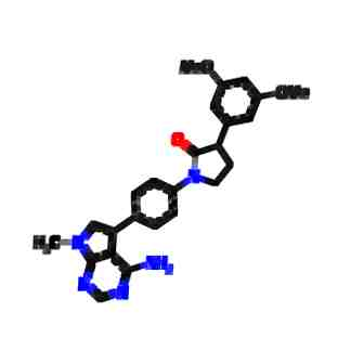 COc1cc(OC)cc(C2CCN(c3ccc(-c4cn(C)c5ncnc(N)c45)cc3)C2=O)c1